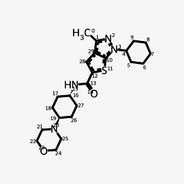 Cc1nn(C2CCCCC2)c2sc(C(=O)N[C@H]3CC[C@H](N4CCOCC4)CC3)cc12